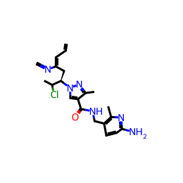 C=C/C=C(\C[C@H](C(C)Cl)n1cc(C(=O)NCc2ccc(N)nc2C)c(C)n1)N=C